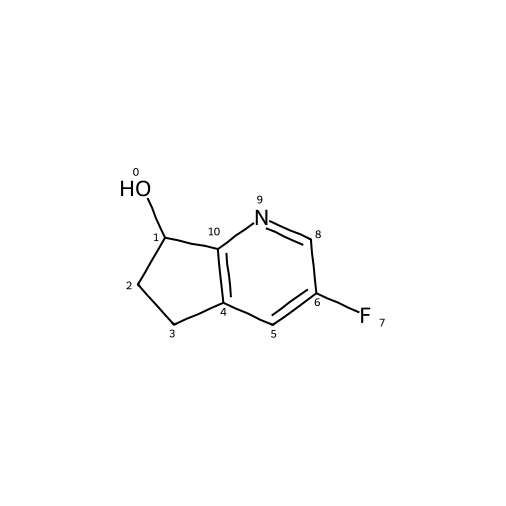 OC1CCc2cc(F)cnc21